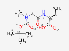 CC[C@H](NC(=O)CN(C)C(=O)OC(C)(C)C)C(=O)O